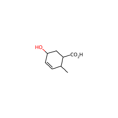 CC1C=CC(O)CC1C(=O)O